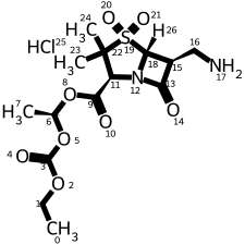 CCOC(=O)O[C@@H](C)OC(=O)[C@@H]1N2C(=O)[C@H](CN)[C@H]2S(=O)(=O)C1(C)C.Cl